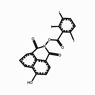 O=C(ON1C(=O)c2cccc3c(O)ccc(c23)C1=O)c1c(I)ccc(I)c1I